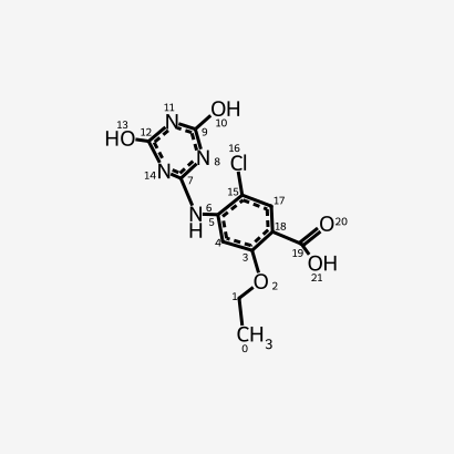 CCOc1cc(Nc2nc(O)nc(O)n2)c(Cl)cc1C(=O)O